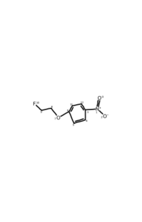 O=[N+]([O-])c1ccc(OCCF)cc1